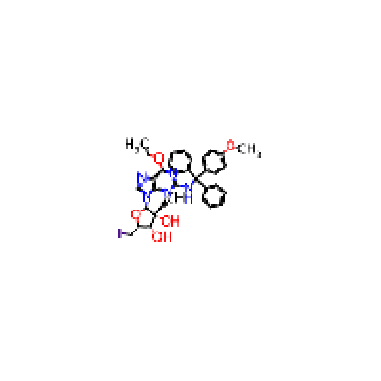 C#C[C@]1(O)C(n2cnc3c(OCC)nc(NC(c4ccccc4)(c4ccccc4)c4ccc(OC)cc4)nc32)O[C@H](CI)[C@H]1O